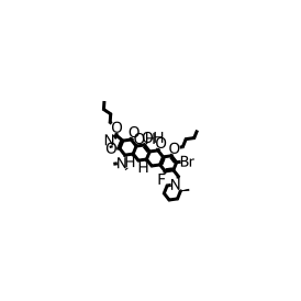 CCCCOc1noc2c1C(=O)[C@@]1(O)C(O)=C3C(=O)c4c(c(F)c(CN5CCCC[C@@H]5C)c(Br)c4OCCCC)C[C@H]3C[C@H]1[C@@H]2N(C)C